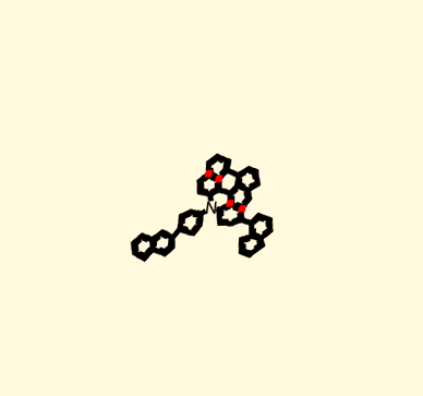 c1ccc(-c2cccc3cccc(-c4ccccc4N(c4ccc(-c5ccc6ccccc6c5)cc4)c4ccc(-c5cccc6ccccc56)cc4)c23)cc1